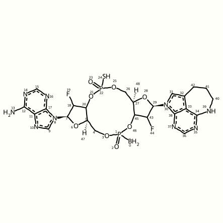 BP1(=O)OC[C@H]2O[C@@H](n3cnc4c(N)ncnc43)C(F)C2OP(=O)(S)OC[C@H]2O[C@@H](n3cc4c5c(ncnc53)NCCC4)C(F)C2O1